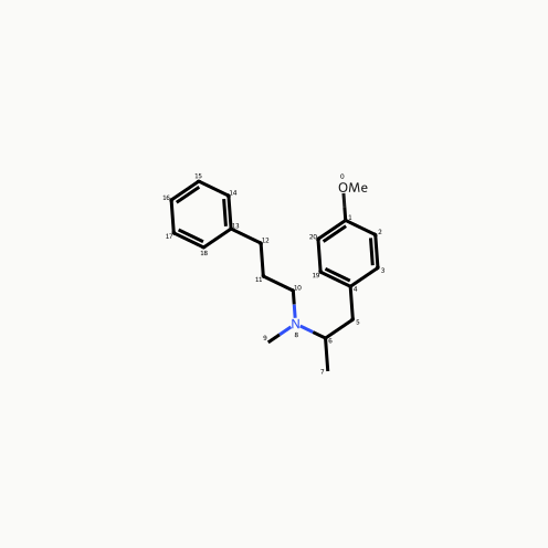 COc1ccc(CC(C)N(C)CCCc2ccccc2)cc1